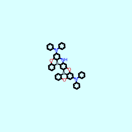 c1ccc(N(c2ccccc2)c2cc3c4c(c2)Oc2ccccc2B4c2cc4c(cc2N3)Oc2cc(N(c3ccccc3)c3ccccc3)cc3c2B4c2ccccc2O3)cc1